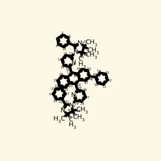 CC1(C)N=C(c2ccccc2)N(c2cccc(-c3c4ccccc4c(-c4cccc(N5C(c6ccccc6)=NC(C)(C)C5(C)C)n4)c4cc(-c5ccccc5)ccc34)n2)C1(C)C